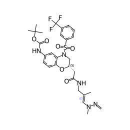 C=NN(C)/C=C(\C)CNC(=O)C[C@H]1CN(S(=O)(=O)c2cccc(C(F)(F)F)c2)c2cc(NC(=O)OC(C)(C)C)ccc2O1